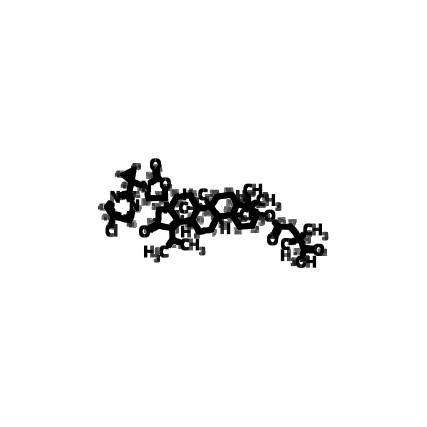 CC(C)C1=C2[C@H]3CC[C@@H]4[C@@]5(C)CC[C@H](OC(=O)CC(C)(C)C(=O)O)C(C)(C)[C@@H]5CC[C@@]4(C)[C@]3(C)CCC2([C@@H]2CN(C3(c4ncc(Cl)cn4)CC3)C(=O)O2)CC1=O